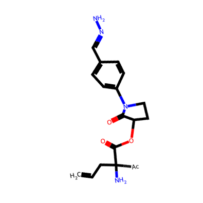 C=CCC(N)(C(C)=O)C(=O)OC1CCN(c2ccc(C=NN)cc2)C1=O